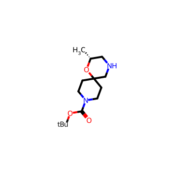 C[C@@H]1CNCC2(CCN(C(=O)OC(C)(C)C)CC2)O1